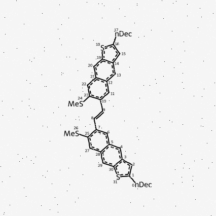 CCCCCCCCCCc1cc2cc3cc(C=Cc4cc5cc6cc(CCCCCCCCCC)sc6cc5cc4SC)c(SC)cc3cc2s1